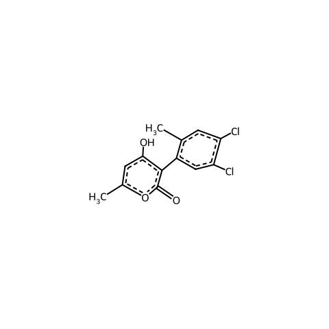 Cc1cc(O)c(-c2cc(Cl)c(Cl)cc2C)c(=O)o1